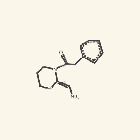 O=C(Cc1ccccc1)N1CCCS/C1=C\[N+](=O)[O-]